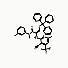 Cc1cccc(N(C)C(=O)C(=CSC(c2ccccc2)(c2ccccc2)c2ccccc2)Nc2nc(C)cc(C(F)(F)F)c2C#N)c1